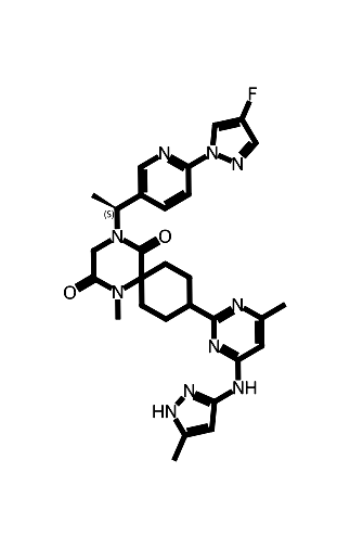 Cc1cc(Nc2cc(C)[nH]n2)nc(C2CCC3(CC2)C(=O)N([C@@H](C)c2ccc(-n4cc(F)cn4)nc2)CC(=O)N3C)n1